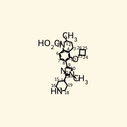 CC1CCc2c(ccc(-c3cn(C)c(C4CCNCC4)n3)c2OC2CCC2)N1C(=O)O